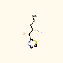 CSCC[C@H](N)[C@@H](O)c1nccs1